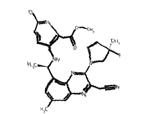 COC(=O)c1nc(Cl)ccc1N[C@H](C)c1cc(C)cc2nc(C#N)c(N3CC[C@@](C)(F)C3)nc12